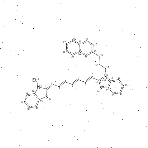 CCN1/C(=C/C=C/C=C/C=C/c2sc3ccccc3[n+]2CCCc2ccc3ccccc3c2)Sc2ccccc21